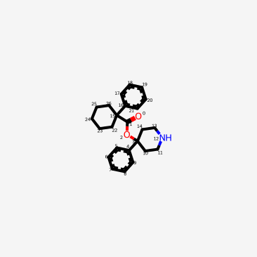 O=C(OC1(c2ccccc2)CCNCC1)C1(c2ccccc2)CCCCC1